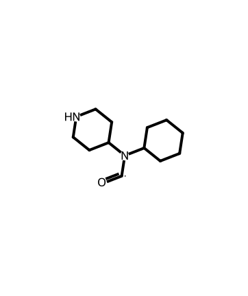 O=[C]N(C1CCCCC1)C1CCNCC1